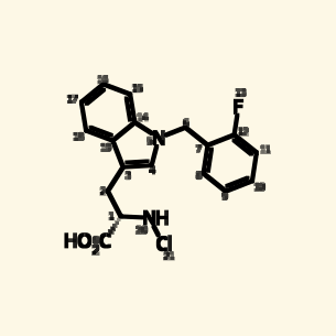 O=C(O)[C@H](Cc1cn(Cc2ccccc2F)c2ccccc12)NCl